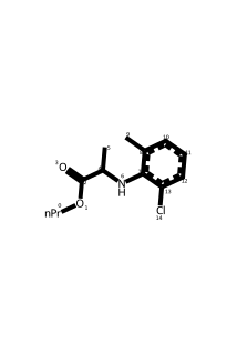 CCCOC(=O)C(C)Nc1c(C)cccc1Cl